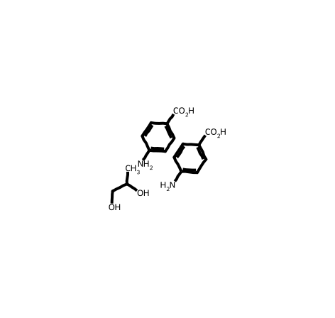 CC(O)CO.Nc1ccc(C(=O)O)cc1.Nc1ccc(C(=O)O)cc1